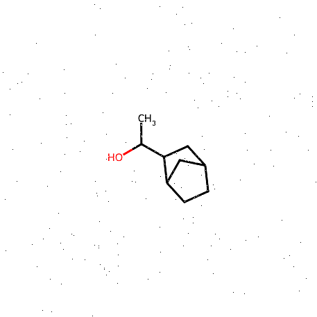 CC(O)C1CC2CCC1C2